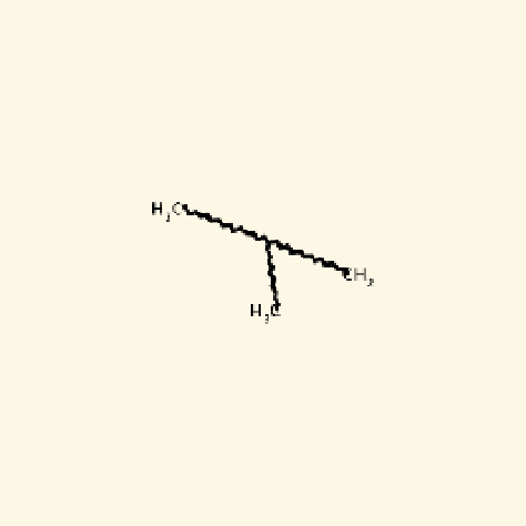 C=CCCCCCCCCCCCCCCC(=CCCCCCCCCCC)CCCCCCCCCCCCC=C